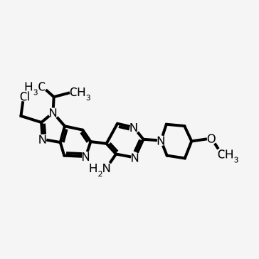 COC1CCN(c2ncc(-c3cc4c(cn3)nc(CCl)n4C(C)C)c(N)n2)CC1